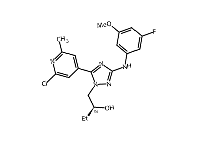 CC[C@H](O)Cn1nc(Nc2cc(F)cc(OC)c2)nc1-c1cc(C)nc(Cl)c1